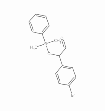 C[Si](C)(OC(C=O)c1ccc(Br)cc1)c1ccccc1